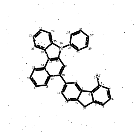 Brc1cccc2c1-c1cc(-c3cc4c(c5ccccc35)c3ccccc3n4-c3ccccc3)ccc1C2